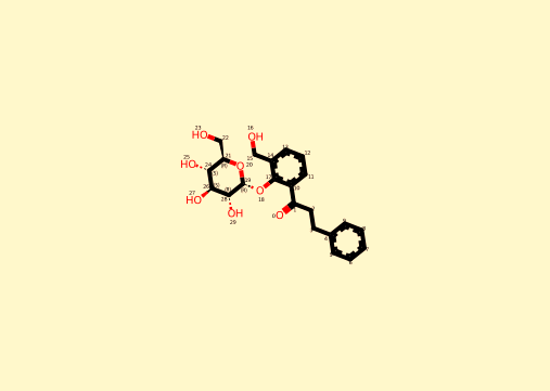 O=C(CCc1ccccc1)c1cccc(CO)c1O[C@H]1O[C@H](CO)[C@@H](O)[C@H](O)[C@H]1O